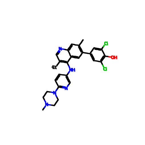 [CH2][CH]c1cnc2cc(C)c(-c3cc(Cl)c(O)c(Cl)c3)cc2c1Nc1ccc(N2CCN(C)CC2)nc1